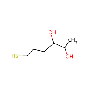 CC(O)C(O)CCCS